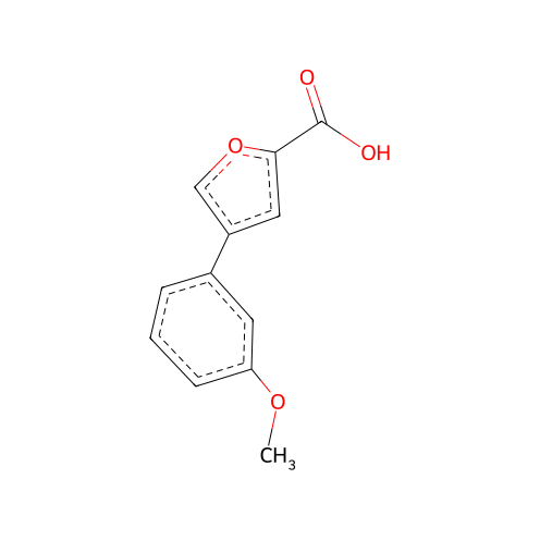 COc1cccc(-c2coc(C(=O)O)c2)c1